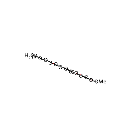 C=CC(=O)OCCCCOCCCCOCCCCOCCCCOCCCCOCCCCOCCCCOCCCCOCCCCOCCCCOCCCCOCCCCOC